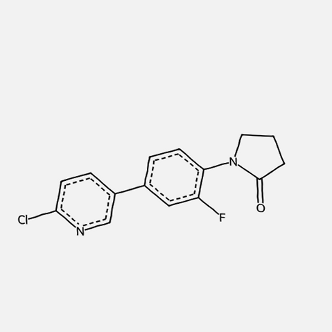 O=C1CCCN1c1ccc(-c2ccc(Cl)nc2)cc1F